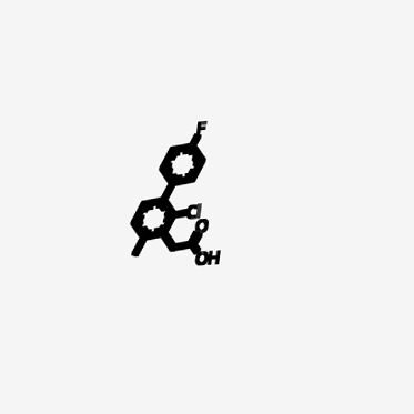 Cc1ccc(-c2ccc(F)cc2)c(Cl)c1CC(=O)O